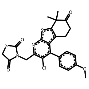 COc1ccc(-c2c(Cl)c(CN3C(=O)CSC3=O)nc3sc4c(c23)CCC(=O)C4(C)C)cc1